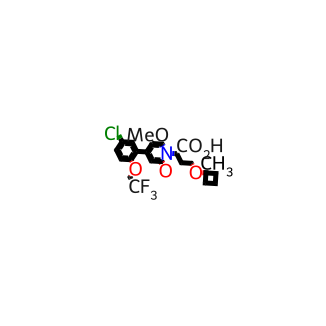 COc1cn(C(CCOC2(C)CCC2)C(=O)O)c(=O)cc1-c1cc(Cl)ccc1OCC(F)(F)F